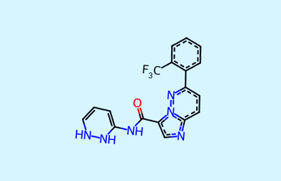 O=C(NC1=CC=CNN1)c1cnc2ccc(-c3ccccc3C(F)(F)F)nn12